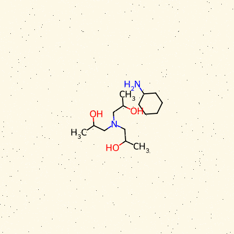 CC(O)CN(CC(C)O)CC(C)O.NC1CCCCC1